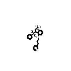 O=S1(=O)CC(S(=O)(=O)c2ccccc2)c2c(OCCCc3cccnc3)cccc21